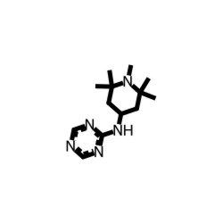 CN1C(C)(C)CC(Nc2ncncn2)CC1(C)C